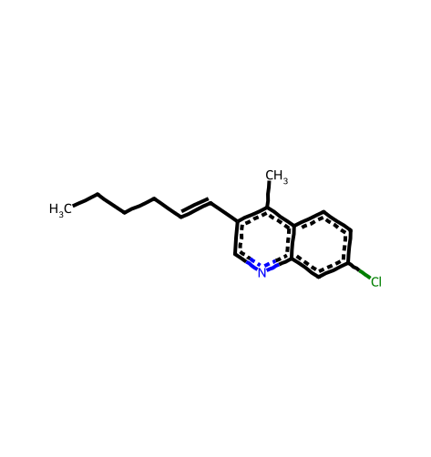 CCCCC=Cc1cnc2cc(Cl)ccc2c1C